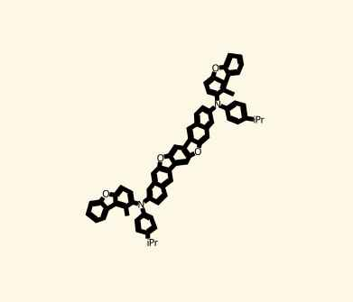 Cc1c(N(c2ccc(C(C)C)cc2)c2ccc3cc4c(cc3c2)oc2cc3c(cc24)oc2cc4cc(N(c5ccc(C(C)C)cc5)c5ccc6oc7ccccc7c6c5C)ccc4cc23)ccc2oc3ccccc3c12